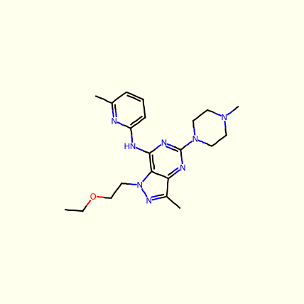 CCOCCn1nc(C)c2nc(N3CCN(C)CC3)nc(Nc3cccc(C)n3)c21